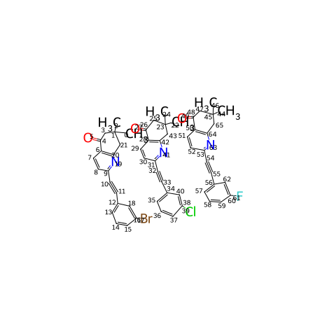 CC1(C)CC(=O)c2ccc(C#Cc3cccc(Br)c3)nc2C1.CC1(C)CC(=O)c2ccc(C#Cc3cccc(Cl)c3)nc2C1.CC1(C)CC(=O)c2ccc(C#Cc3cccc(F)c3)nc2C1